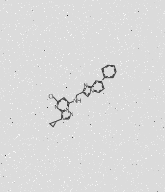 Clc1cc(NCc2cn3ccc(-c4ccccc4)cc3n2)n2ncc(C3CC3)c2n1